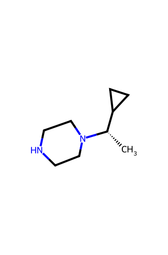 C[C@@H](C1CC1)N1CCNCC1